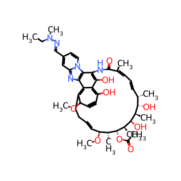 CCN(C)/N=C/c1ccn2c(c1)nc1c3c4c(O)c(c12)NC(=O)/C(C)=C\C=C\[C@H](C)[C@H](O)[C@@H](C)[C@@H](O)[C@@H](C)[C@H](OC(C)=O)[C@H](C)[C@@H](OC)/C=C/CCC=3C(OC)C#CC=4O